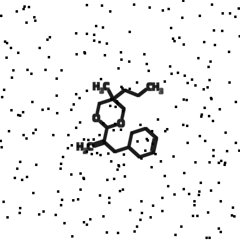 C=C(CC1CC=CCC1)C1OCC(C)(CCC)CO1